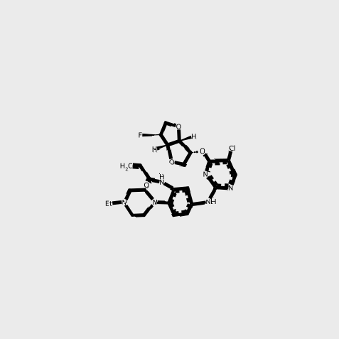 C=CC(=O)Nc1cc(Nc2ncc(Cl)c(O[C@@H]3CO[C@H]4[C@@H]3OC[C@@H]4F)n2)ccc1N1CCN(CC)CC1